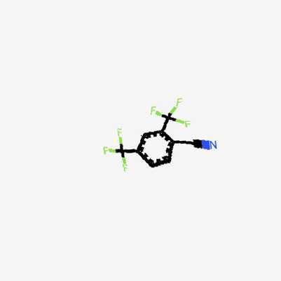 N#Cc1ccc(C(F)(F)F)[c]c1C(F)(F)F